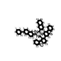 c1ccc(-c2ccc3cc(C4=NC(c5c(-c6ccc7c(c6)sc6ccccc67)ccc6oc7ccccc7c56)=NC(c5ccc6ccccc6c5)N4)ccc3c2)cc1